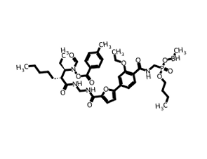 CBOP(=O)(CNC(=O)c1ccc(-c2ccc(C(=O)NCNC(=O)[C@H](CCCCC)[C@@H](CC)N(C=O)OC(=O)c3ccc(C)cc3)o2)cc1OCC)OCCCC